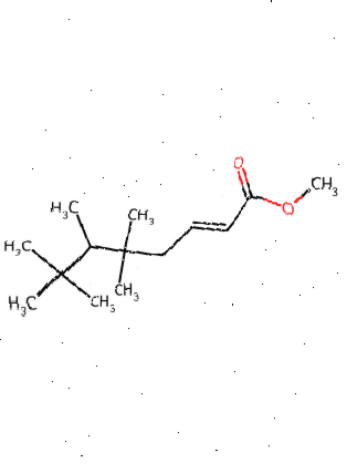 COC(=O)C=CCC(C)(C)C(C)C(C)(C)C